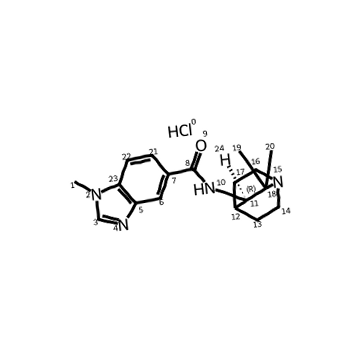 Cl.Cn1cnc2cc(C(=O)N[C@@H]3C4CCN(CC4)C3(C)C)ccc21